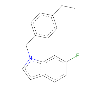 CCc1ccc(Cn2c(C)cc3ccc(F)cc32)cc1